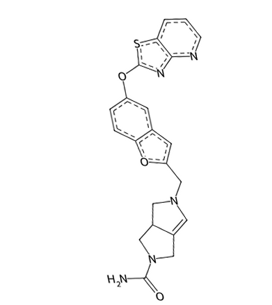 NC(=O)N1CC2=CN(Cc3cc4cc(Oc5nc6ncccc6s5)ccc4o3)CC2C1